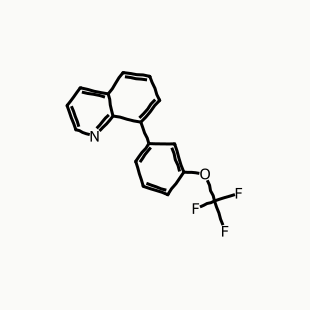 FC(F)(F)Oc1cccc(-c2cccc3cccnc23)c1